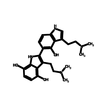 CN(C)CCc1c[nH]c2ccc(-c3[nH]c4c(O)ccc(O)c4c3CCN(C)C)c(O)c12